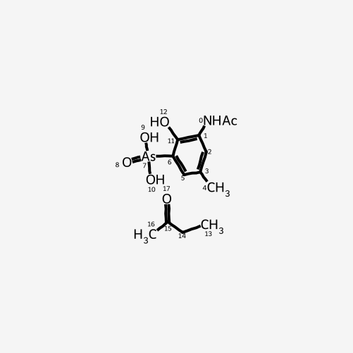 CC(=O)Nc1cc(C)cc([As](=O)(O)O)c1O.CCC(C)=O